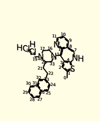 Cc1cc2c(s1)NC=c1cccnc1=C2N1CCN(C)C(CCc2ccc3ccccc3c2)C1.Cl.Cl